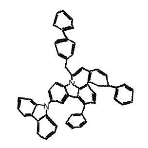 C1=CC(c2ccccc2)CC=C1/C=C(/Cc1ccc(-c2ccccc2)cc1)n1c2ccc(-n3c4ccccc4c4ccccc43)cc2c2c(-c3ccccc3)cccc21